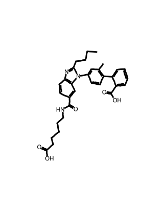 CCCCc1nc2ccc(C(=O)NCCCCCC(=O)O)cc2n1-c1ccc(-c2ccccc2C(=O)O)c(C)c1